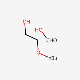 CCCCOCCO.O=CO